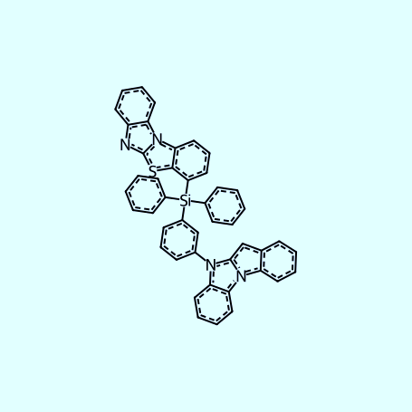 c1ccc([Si](c2ccccc2)(c2cccc(-n3c4ccccc4n4c5ccccc5cc34)c2)c2cccc3c2sc2nc4ccccc4n23)cc1